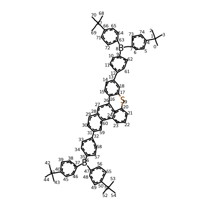 CC(C)(C)c1ccc(B(c2ccc(-c3ccc4c(c3)Sc3cccc5c3c-4cc3ccc(-c4ccc(B(c6ccc(C(C)(C)C)cc6)c6ccc(C(C)(C)C)cc6)cc4)cc35)cc2)c2ccc(C(C)(C)C)cc2)cc1